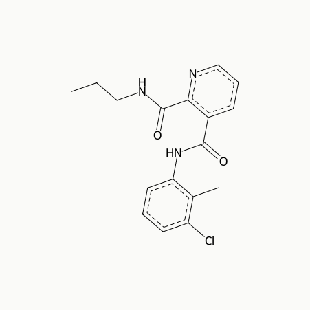 CCCNC(=O)c1ncccc1C(=O)Nc1cccc(Cl)c1C